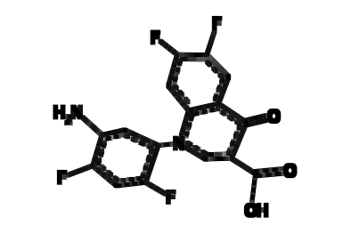 Nc1cc(-n2cc(C(=O)O)c(=O)c3cc(F)c(F)cc32)c(F)cc1F